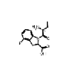 CC[C@H](N)C(=O)N1c2cccc(F)c2CC1C(=O)O